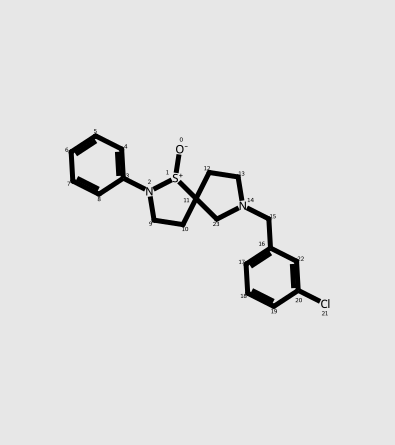 [O-][S+]1N(c2ccccc2)CCC12CCN(Cc1cccc(Cl)c1)C2